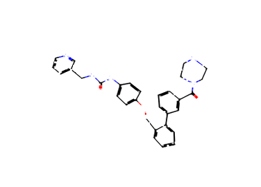 O=C(NCc1cccnc1)Nc1ccc(OCc2ccccc2-c2cccc(C(=O)N3CCNCC3)c2)cc1